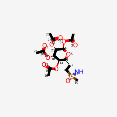 CC(=O)O[C@H]1O[C@H](CCS(C)(=N)=O)[C@@H](OC(C)=O)[C@H](OC(C)=O)[C@@H]1OC(C)=O